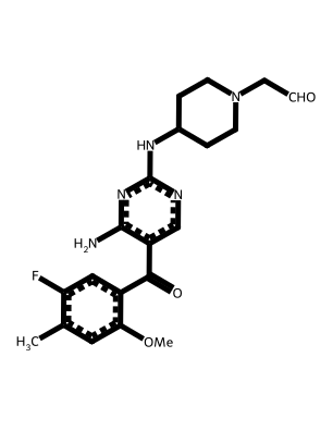 COc1cc(C)c(F)cc1C(=O)c1cnc(NC2CCN(CC=O)CC2)nc1N